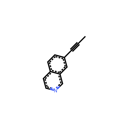 CC#Cc1ccc2ccncc2c1